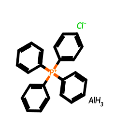 [AlH3].[Cl-].c1ccc([P+](c2ccccc2)(c2ccccc2)c2ccccc2)cc1